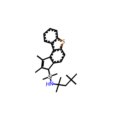 CC1=C(C)C([Si](C)(C)NC(C)(C)CC(C)(C)C)c2ccc3sc4ccccc4c3c21